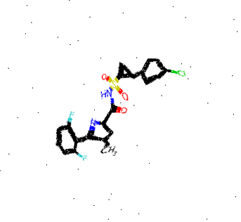 CC1C=C(C(=O)NS(=O)(=O)C2=CC2c2ccc(Cl)cc2)N=C1c1c(F)cccc1F